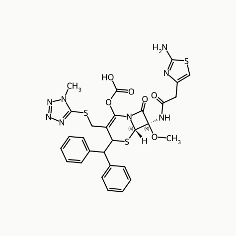 CO[C@]1(NC(=O)Cc2csc(N)n2)C(=O)N2C(OC(=O)O)=C(CSc3nnnn3C)C(C(c3ccccc3)c3ccccc3)S[C@H]21